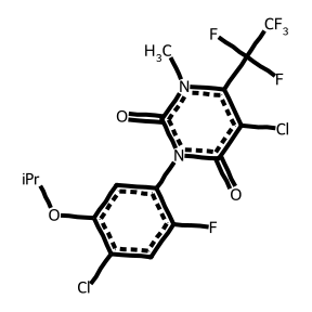 CC(C)Oc1cc(-n2c(=O)c(Cl)c(C(F)(F)C(F)(F)F)n(C)c2=O)c(F)cc1Cl